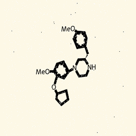 COc1ccc(C[C@H]2CN(c3ccc(OC)c(OC4CCCC4)c3)CCN2)cc1